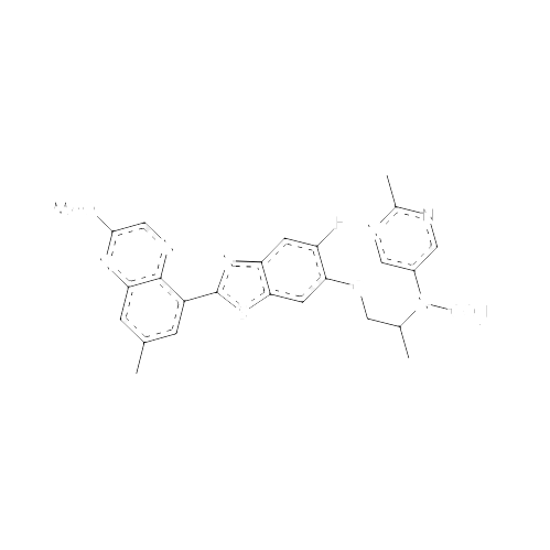 COc1cnc2c(-c3nc4cc(F)c(OCC(C)N(C(=O)O)c5cnc(C)nc5)cc4s3)cc(C)cc2n1